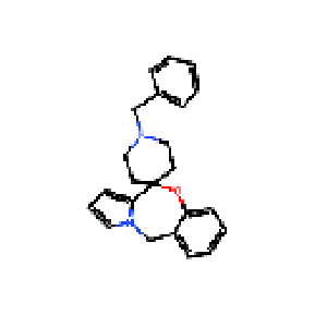 c1ccc(CN2CCC3(CC2)Oc2ccccc2Cn2cccc23)cc1